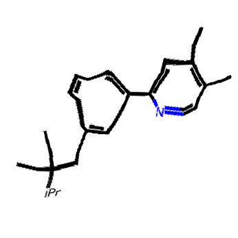 Cc1cnc(-c2cccc(CC(C)(C)C(C)C)c2)cc1C